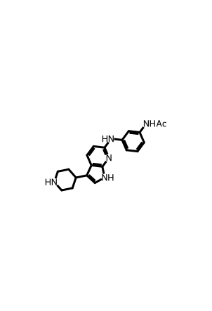 CC(=O)Nc1cccc(Nc2ccc3c(C4CCNCC4)c[nH]c3n2)c1